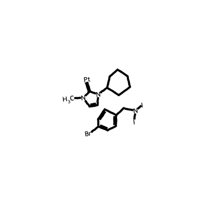 Brc1ccc(CN(I)I)cc1.Cn1ccn(C2CCCCC2)[c]1=[Pt]